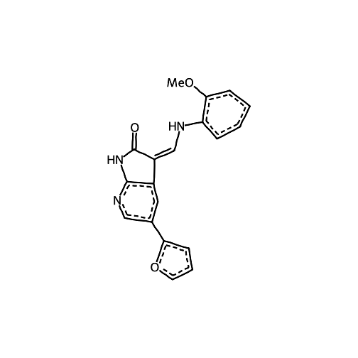 COc1ccccc1N/C=C1\C(=O)Nc2ncc(-c3ccco3)cc21